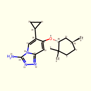 CC[C@H]1CCC(C)(CC)[C@H](Oc2cc3nnc(N)n3cc2C2CC2)C1